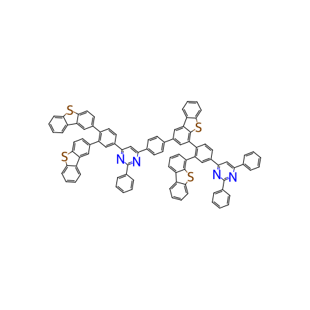 c1ccc(-c2cc(-c3ccc(-c4cc(-c5ccc(-c6cc(-c7ccc(-c8ccc9sc%10ccccc%10c9c8)c(-c8ccc9sc%10ccccc%10c9c8)c7)nc(-c7ccccc7)n6)cc5)cc5c4sc4ccccc45)c(-c4cccc5c4sc4ccccc45)c3)nc(-c3ccccc3)n2)cc1